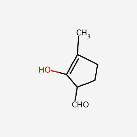 CC1=C(O)C(C=O)CC1